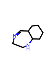 C1=NCCNC2CCCCC12